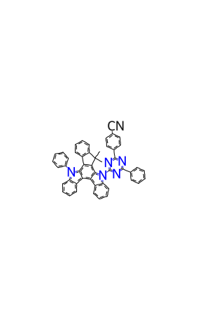 CC1(C)c2ccccc2-c2c1c1c(c3ccccc3n1-c1nc(-c3ccccc3)nc(-c3ccc(C#N)cc3)n1)c1c3ccccc3n(-c3ccccc3)c21